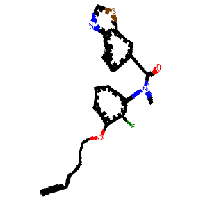 C=CCCCOc1cccc(N(C)C(=O)c2ccc3ncsc3c2)c1F